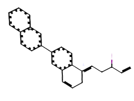 C=CC(I)C/C=C1\CC=Cc2cc(-c3ccc4ccccc4c3)ccc21